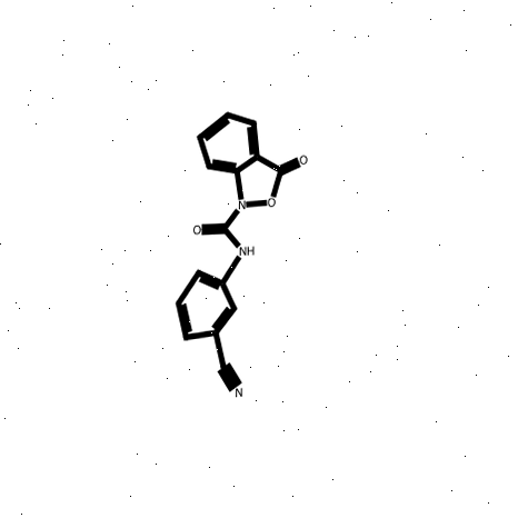 N#Cc1cccc(NC(=O)n2oc(=O)c3ccccc32)c1